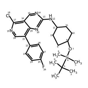 CC(C)(C)[Si](C)(C)OC1CCC(Nc2ncc3c(Cl)ncc(-c4ccc(F)cc4)c3n2)CC1